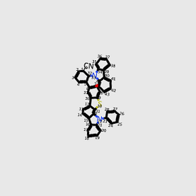 N#C[C@H]1C=CC=C(c2ccc3sc4c(ccc5c6ccccc6n(-c6ccccc6)c54)c3c2)C1n1c2ccccc2c2ccccc21